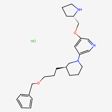 Cl.c1ccc(COCCC[C@@H]2CCCN(c3cncc(OC[C@@H]4CCCN4)c3)C2)cc1